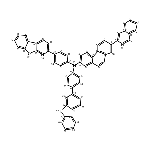 c1ccc2cc(-c3ccc4c(ccc5cc(N(c6ccc(-c7ccc8c(n7)oc7ccccc78)cc6)c6ccc(-c7ccc8c(n7)oc7ccccc78)cc6)ccc54)c3)ncc2c1